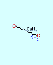 NC(CC=O)CCCCCCCCC=O.[CaH2]